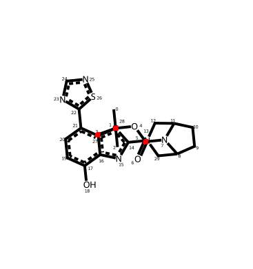 CC(C)(C)OC(=O)N1C2CCC1CN(c1nc3c(O)ccc(-c4ncns4)c3o1)C2